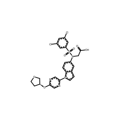 O=C(O)CN(c1ccc2c(ccn2-c2cnc(O[C@H]3CCOC3)cn2)c1)S(=O)(=O)c1cc(Cl)cc(Cl)c1